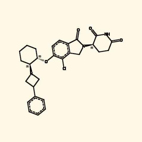 O=C1CC[C@@H](N2Cc3c(ccc(O[C@H]4CCCC[C@@H]4N4CC(c5ccccc5)C4)c3Cl)C2=O)C(=O)N1